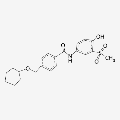 CS(=O)(=O)c1cc(NC(=O)c2ccc(COC3CCCCC3)cc2)ccc1O